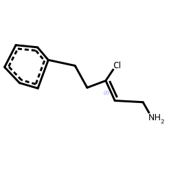 NC/C=C(\Cl)CCc1ccccc1